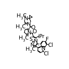 CC(C)C1=C(C(=O)N2[C@H](C)CC[C@H]2C(=O)N2CC3(CC3)N(C)C[C@H]2C)SC2=N[C@@](C)(c3ccc(Cl)nc3)[C@@H](c3ccc(Cl)c(F)c3)N21